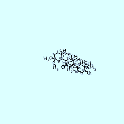 CC1(C)CC[C@]2(C)CC[C@]3(C)C(C(=O)C=C4[C@@]5(C)C=CC(=O)C(C)(C)[C@@H]5CC[C@]43C)C2C1